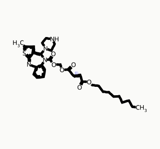 CCCCCCCCCCOC(=O)/C=C/C(=O)OCOC(=O)N1C(N2CCNCC2)=c2cc(C)sc2=Nc2ccccc21